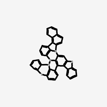 c1ccc2c(c1)Sc1cccc3c1N2B1c2c(cc4sc5ccccc5c4c2-3)-n2c3ccc4ccccc4c3c3cccc1c32